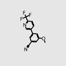 COc1cc(C#N)cc(-c2ccc(C(F)(F)F)nc2)c1